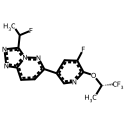 CC(F)c1nnc2ccc(-c3cnc(O[C@@H](C)C(F)(F)F)c(F)c3)nn12